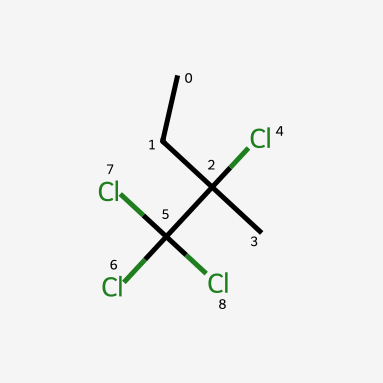 CCC(C)(Cl)C(Cl)(Cl)Cl